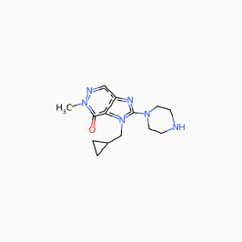 Cn1ncc2nc(N3CCNCC3)n(CC3CC3)c2c1=O